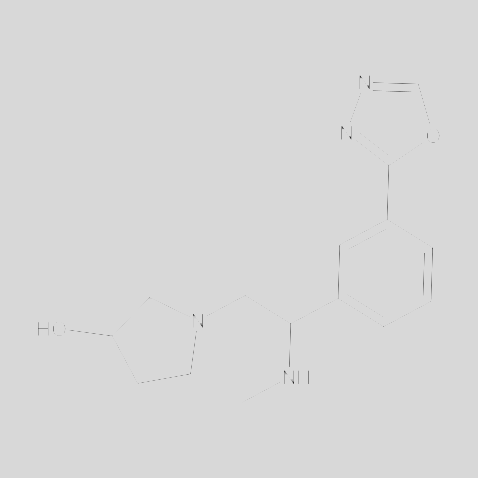 CNC(CN1CCC(O)C1)c1cccc(-c2nnco2)c1